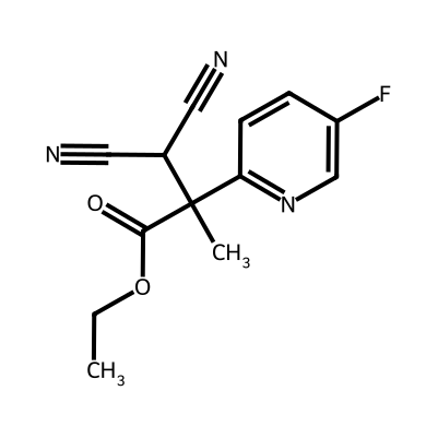 CCOC(=O)C(C)(c1ccc(F)cn1)C(C#N)C#N